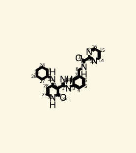 N=C(Nc1cccc(CNC(=O)c2ncccn2)c1)c1c(NC2CCCCC2)cc[nH]c1=O